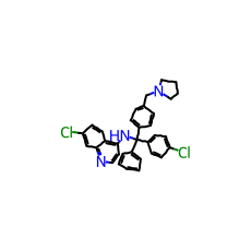 Clc1ccc(C(Nc2ccnc3cc(Cl)ccc23)(c2ccccc2)c2ccc(CN3CCCC3)cc2)cc1